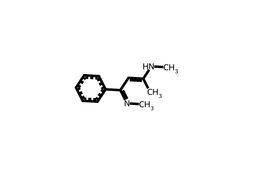 C/N=C(\C=C(/C)NC)c1ccccc1